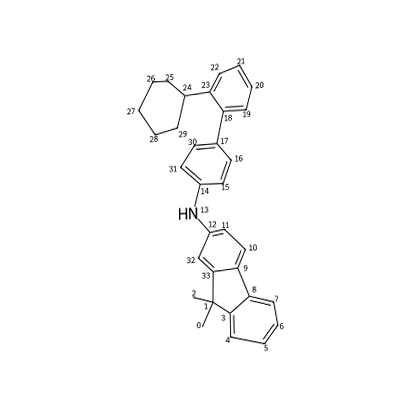 CC1(C)c2ccccc2-c2ccc(Nc3ccc(-c4ccccc4C4CCCCC4)cc3)cc21